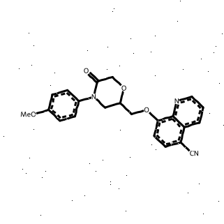 COc1ccc(N2CC(COc3ccc(C#N)c4cccnc34)OCC2=O)cc1